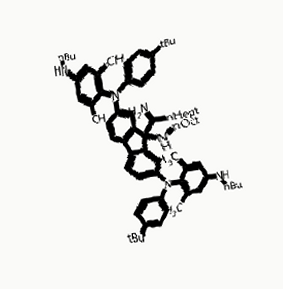 CCCCCCCCNC1(C(N)CCCCCCC)c2cc(N(c3ccc(C(C)(C)C)cc3)c3c(C)cc(NCCCC)cc3C)ccc2-c2ccc(N(c3ccc(C(C)(C)C)cc3)c3c(C)cc(NCCCC)cc3C)cc21